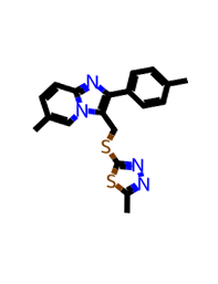 Cc1ccc(-c2nc3ccc(C)cn3c2CSc2nnc(C)s2)cc1